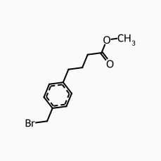 COC(=O)CCCc1ccc(CBr)cc1